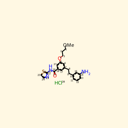 COCCCOc1cc(CCc2cccc(N)c2)cc(C(=O)Nc2nccs2)c1.Cl